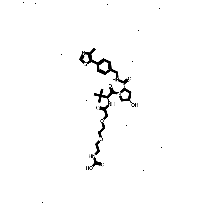 Cc1ncsc1-c1ccc(CNC(=O)[C@@H]2C[C@@H](O)CN2C(=O)[C@@H](NC(=O)COCCOCCNC(=O)O)C(C)(C)C)cc1